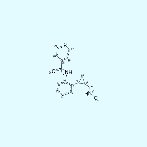 O=C(Nc1ccccc1C1CC1CNCl)c1ccccc1